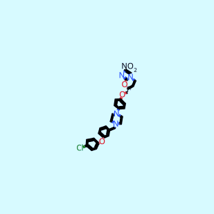 O=[N+]([O-])c1cn2c(n1)O[C@@H](COc1ccc(N3CCN(Cc4cccc(Oc5ccc(Cl)cc5)c4)CC3)cc1)CC2